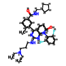 CCN(CC)CCCNc1nc(-c2cc(C(=O)NCC3CCCC3)ccc2C)c2ccc(=O)n(-c3c(F)cccc3F)c2n1